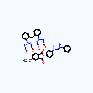 O=C(O)c1ccc2c(c1)C(=O)OC2=O.O=C=NN(N=C=O)c1ccccc1Cc1ccccc1N(N=C=O)N=C=O.c1ccc(NCNc2ccccc2)cc1